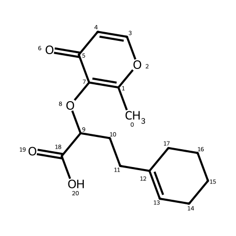 Cc1occc(=O)c1OC(CCC1=CCCCC1)C(=O)O